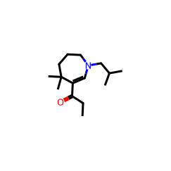 CCC(=O)C1=CN(CC(C)C)CCCC1(C)C